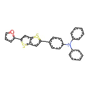 c1ccc(N(c2ccccc2)c2ccc(-c3cc4sc(-c5ccco5)cc4s3)cc2)cc1